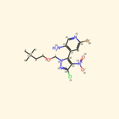 C[Si](C)(C)CCOCn1nc(Cl)c([N+](=O)[O-])c1-c1cc(Br)ncc1N